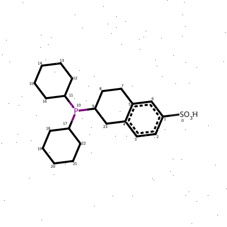 O=S(=O)(O)c1ccc2c(c1)CCC(P(C1CCCCC1)C1CCCCC1)C2